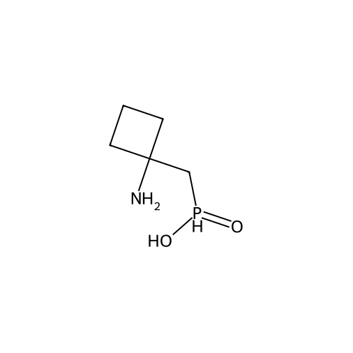 NC1(C[PH](=O)O)CCC1